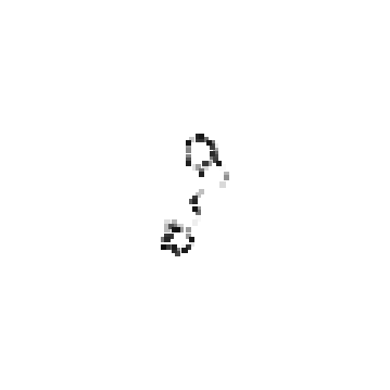 C(=CC1CCc2ccccc21)c1ccon1